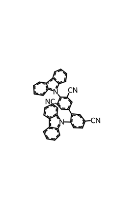 N#Cc1ccc(-n2c3ccccc3c3ccccc32)c(-c2cc(C#N)c(-n3c4ccccc4c4ccccc43)c(C#N)c2)c1